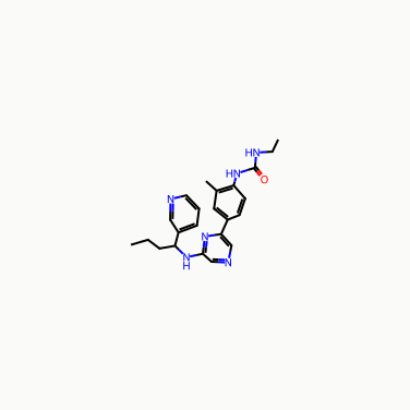 CCCC(Nc1cncc(-c2ccc(NC(=O)NCC)c(C)c2)n1)c1cccnc1